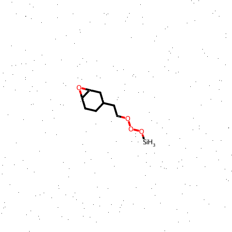 [SiH3]OOOCCC1CCC2OC2C1